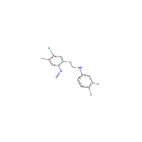 C=Nc1cc(C)c(F)cc1CCNc1ccc(F)c(F)c1